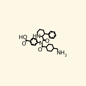 NCC1CCC(C(=O)N(C(=O)C2NCCCC2c2ccccc2)c2ccc(C(=O)O)cc2)CC1